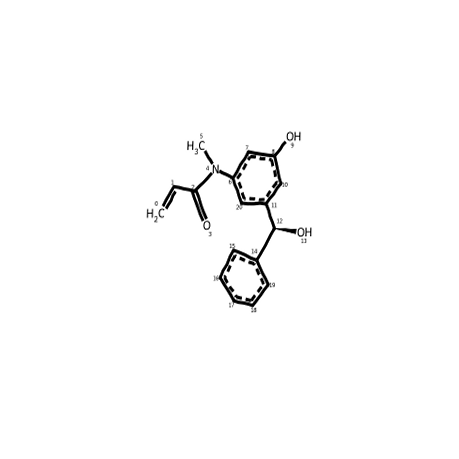 C=CC(=O)N(C)c1cc(O)cc([C@@H](O)c2ccccc2)c1